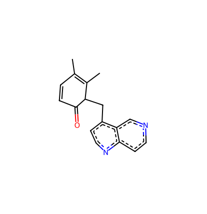 CC1=C(C)C(Cc2ccnc3ccncc23)C(=O)C=C1